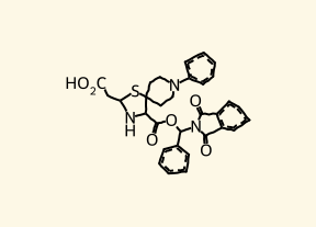 O=C(O)CC1NC(C(=O)OC(c2ccccc2)N2C(=O)c3ccccc3C2=O)C2(CCN(c3ccccc3)CC2)S1